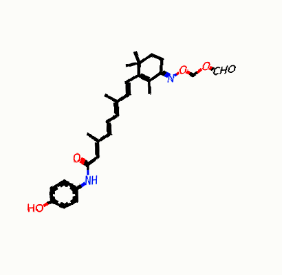 CC1=C(/C=C/C(C)=C/C=C/C(C)=C/C(=O)Nc2ccc(O)cc2)C(C)(C)CC/C1=N\OCOC=O